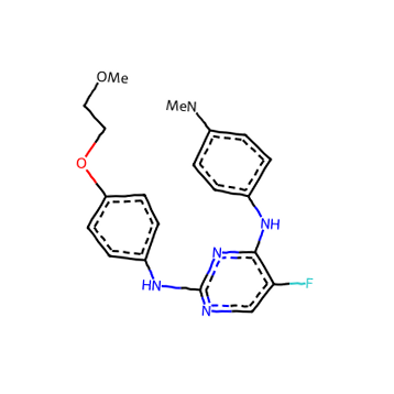 CNc1ccc(Nc2nc(Nc3ccc(OCCOC)cc3)ncc2F)cc1